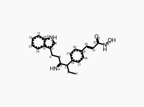 CCC(C(=N)CCc1c[nH]c2ccccc12)c1ccc(/C=C/C(=O)NO)cc1